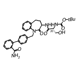 CC(C)(C)OC(=O)N[C@H](CO)C(=O)NC1CCc2ccccc2N(Cc2ccc(-c3ccccc3C(N)=O)cc2)C1=O